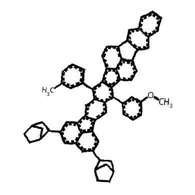 COc1cccc(-c2c3cc4c(cc3c(-c3cccc(C)c3)c3c5ccc6c7c(ccc(c23)c75)-c2cc3ccccc3cc2-6)c2cc(C3CC5CCC3C5)cc3cc(C5CC6CCC5C6)cc4c32)c1